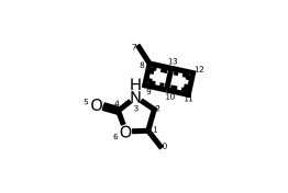 CC1CNC(=O)O1.Cc1cc2ccc1-2